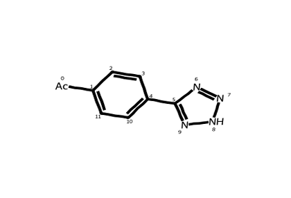 CC(=O)c1ccc(-c2nn[nH]n2)cc1